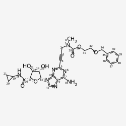 CN(CC#Cc1nc(N)c2ncn([C@@H]3O[C@H](C(=O)NC4CC4)C(O)[C@@H]3O)c2n1)C(=O)OCCOCc1ccccc1